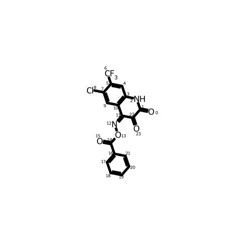 O=C1Nc2cc(C(F)(F)F)c(Cl)cc2C(=NOC(=O)c2ccccc2)C1=O